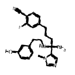 Cn1cncc1C(N)(CCCc1ccc(C#N)c(F)c1)NCCc1cccc(O)c1